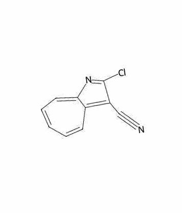 N#Cc1c2cccccc-2nc1Cl